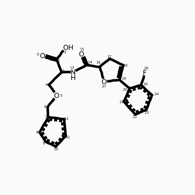 O=C(O)C(COCc1ccccc1)NC(=O)C1CC=C(c2ccccc2F)O1